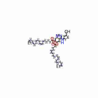 C#Cc1cccc(Nc2ncnc3cc(OC(=O)CCC/C=C\C/C=C\C/C=C\C/C=C\C/C=C\CC)c(OC(=O)CCC/C=C\C/C=C\C/C=C\C/C=C\C/C=C\CC)cc23)c1